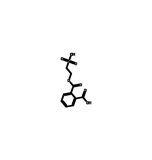 O=C(O)c1ccccc1C(=O)OCCS(=O)(=O)O